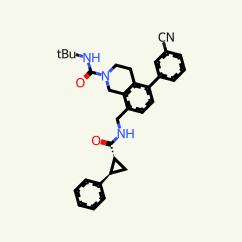 CC(C)(C)NC(=O)N1CCc2c(-c3cccc(C#N)c3)ccc(CNC(=O)[C@@H]3C[C@H]3c3ccccc3)c2C1